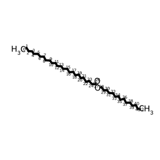 CCCCCCCCCCCCCCCCCCCCCCCCCC(=O)OCCCCCCCCCCCCCCC